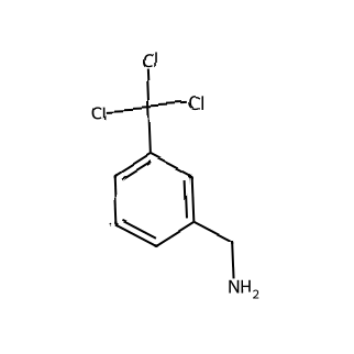 NCc1c[c]cc(C(Cl)(Cl)Cl)c1